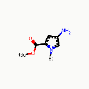 CCn1cc(N)cc1C(=O)OC(C)(C)C